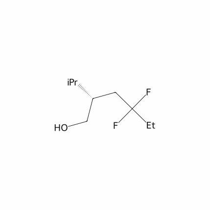 CCC(F)(F)C[C@H](CO)C(C)C